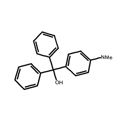 CNc1ccc(C(O)(c2ccccc2)c2ccccc2)cc1